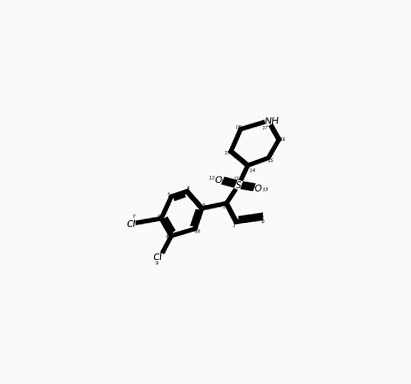 C=CC(c1ccc(Cl)c(Cl)c1)S(=O)(=O)C1CCNCC1